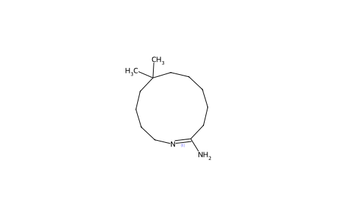 CC1(C)CCCCC/C(N)=N\CCCC1